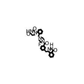 O=C1CCN(c2ccccc2CN2CCN(C(=O)c3cc(Cc4n[nH]c(=O)c5ccccc45)ccc3F)CC2)C(=O)N1